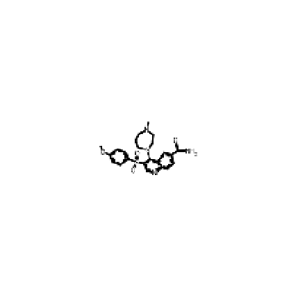 COc1ccc(S(=O)(=O)c2cnc3ccc(C(N)=O)cc3c2N2CCCN(C)CC2)cc1